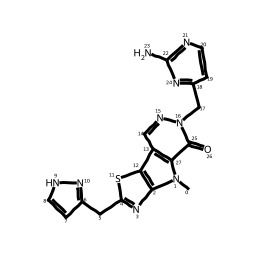 Cn1c2nc(Cc3cc[nH]n3)sc2c2cnn(Cc3ccnc(N)n3)c(=O)c21